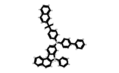 CC(C)(c1ccc(N(c2ccc(-c3ccccc3)cc2)c2ccc3c4c5ccccc5ccc4n(-c4ccccc4)c3c2)cc1)c1ccc2ccccc2c1